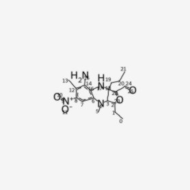 CCCC1N(C)c2cc([N+](=O)[O-])c(C)c(N)c2NC1(CCC)C(=O)C=O